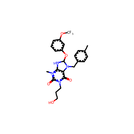 Cc1ccc(CN2c3c(n(C)c(=O)n(CCCO)c3=O)NC2Oc2cccc(OC(F)(F)F)c2)cc1